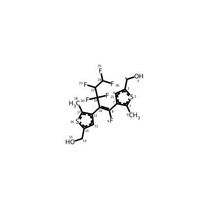 Cc1sc(CO)cc1C(F)=C(c1cc(CO)sc1C)C(F)(F)C(F)C(F)F